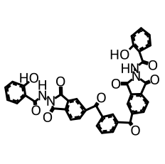 O=C(c1cccc(C(=O)c2ccc3c(c2)C(=O)N(NC(=O)c2ccccc2O)C3=O)c1)c1ccc2c(c1)C(=O)N(NC(=O)c1ccccc1O)C2=O